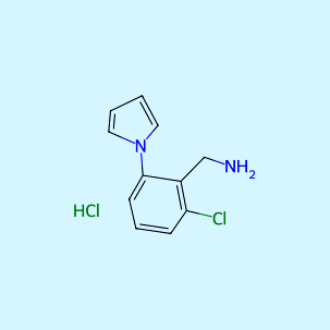 Cl.NCc1c(Cl)cccc1-n1cccc1